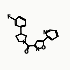 O=C(c1cc(-c2ccccn2)on1)N1CCC(c2cccc(F)c2)C1